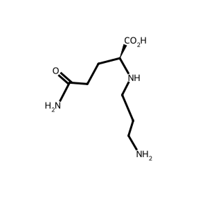 NCCCN[C@@H](CCC(N)=O)C(=O)O